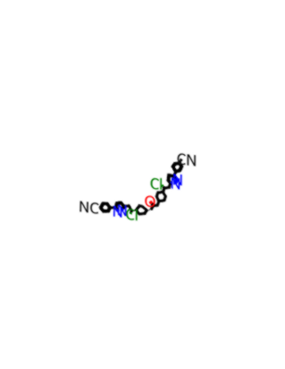 N#Cc1ccc(-c2ccc(CC(Cl)C3CCC(CC(=O)C[C@H]4CC[C@H](C(Cl)Cc5ccc(-c6ccc(C#N)cc6)nn5)CC4)CC3)nn2)cc1